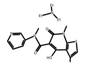 CCN(CC)CC.Cc1csc2c1c(O)c(C(=O)N(C)c1cccnc1)c(=O)n2C